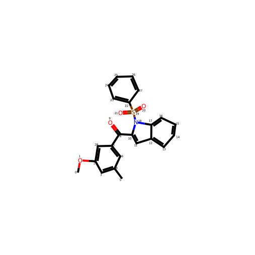 COc1cc(C)cc(C(=O)c2cc3ccccc3n2S(=O)(=O)c2ccccc2)c1